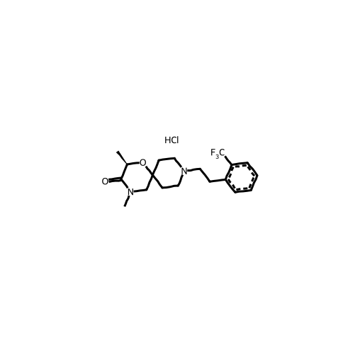 C[C@H]1OC2(CCN(CCc3ccccc3C(F)(F)F)CC2)CN(C)C1=O.Cl